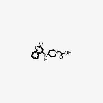 O=C(O)CN1CCC(Nc2cc(=O)oc3ccccc23)CC1